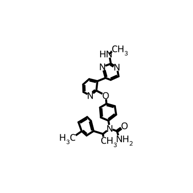 CNc1nccc(-c2cccnc2Oc2ccc(N(C(N)=O)C(C)c3cccc(C)c3)cc2)n1